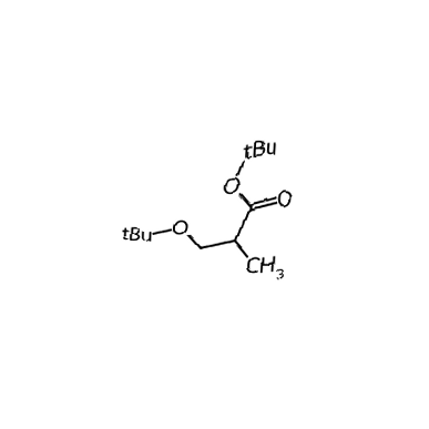 CC(COC(C)(C)C)C(=O)OC(C)(C)C